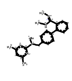 CCCCN(Cc1ccc(-c2ccccc2/C(=N/C)NN)cc1)c1nc(C)cc(C)n1